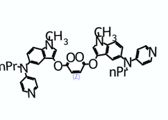 CCCN(c1ccncc1)c1ccc2c(c1)c(OC(=O)/C=C\C(=O)Oc1cn(C)c3ccc(N(CCC)c4ccncc4)cc13)cn2C